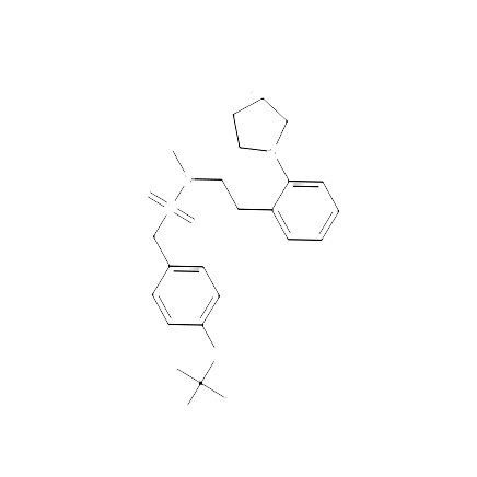 CN(CCc1ccccc1N1CC[C@H](O)C1)S(=O)(=O)Cc1ccc(OC(F)(F)F)cc1